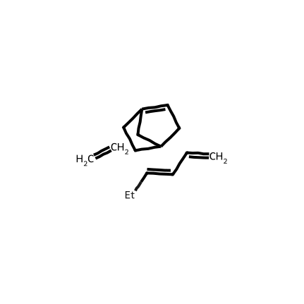 C1=C2CCC(C1)C2.C=C.C=C/C=C/CC